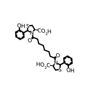 O=C(O)[C@@H]1CSC(c2ccccc2O)N1C(=O)CCCCCCC(=O)N1C(c2ccccc2O)SC[C@H]1C(=O)O